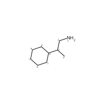 CC(CN)C1CCCCC1